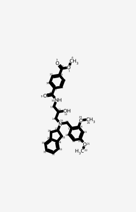 COC(=O)c1ccc(C(=O)NCC(O)CN(Cc2ccc(OC)cc2OC)C2Cc3ccccc3C2)cc1